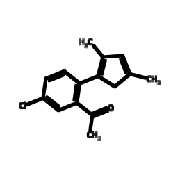 CC(=O)c1cc(Cl)ccc1C1=C(C)C=C(C)C1